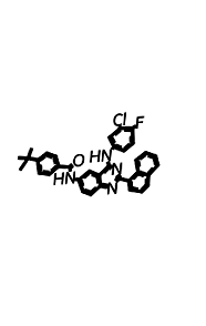 CC(C)(C)c1ccc(C(=O)Nc2ccc3nc(-c4cccc5ccccc45)nc(Nc4ccc(F)c(Cl)c4)c3c2)cc1